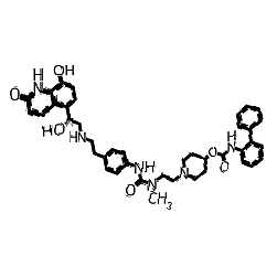 CN(CCN1CCC(OC(=O)Nc2ccccc2-c2ccccc2)CC1)C(=O)Nc1ccc(CCNC[C@H](O)c2ccc(O)c3[nH]c(=O)ccc23)cc1